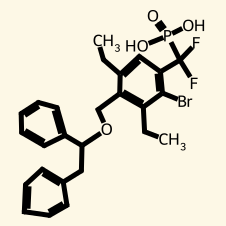 CCc1cc(C(F)(F)P(=O)(O)O)c(Br)c(CC)c1COC(Cc1ccccc1)c1ccccc1